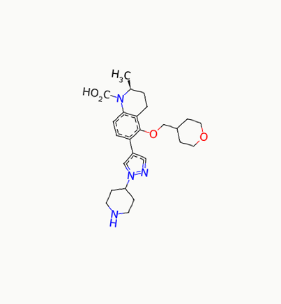 C[C@H]1CCc2c(ccc(-c3cnn(C4CCNCC4)c3)c2OCC2CCOCC2)N1C(=O)O